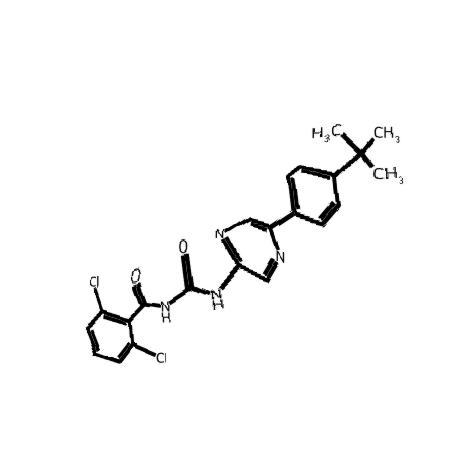 CC(C)(C)c1ccc(-c2cnc(NC(=O)NC(=O)c3c(Cl)cccc3Cl)cn2)cc1